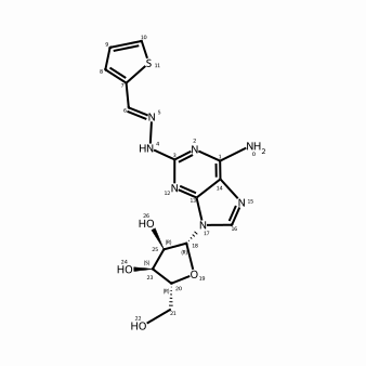 Nc1nc(NN=Cc2cccs2)nc2c1ncn2[C@@H]1O[C@H](CO)[C@@H](O)[C@H]1O